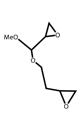 COC(OCCC1CO1)C1CO1